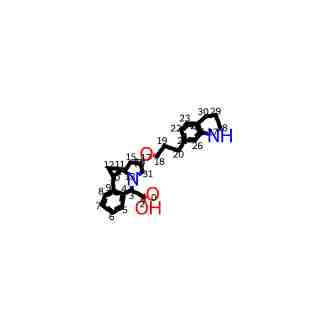 O=C(O)C(c1ccccc1C1CC1)N1CC[C@@H](OCCCc2ccc3c(c2)NCCC3)C1